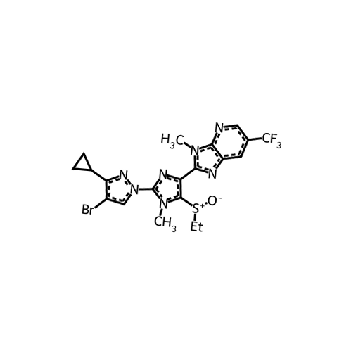 CC[S+]([O-])c1c(-c2nc3cc(C(F)(F)F)cnc3n2C)nc(-n2cc(Br)c(C3CC3)n2)n1C